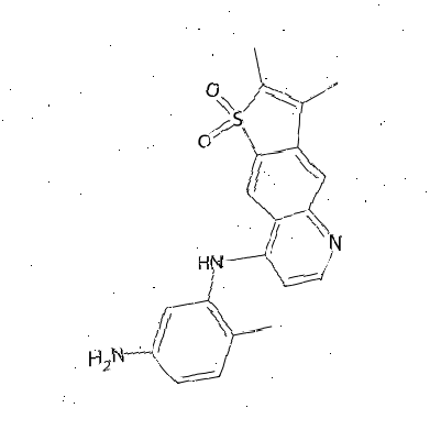 CC1=C(C)S(=O)(=O)c2cc3c(Nc4cc(N)ccc4C)ccnc3cc21